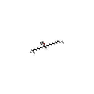 CCCCCCCCCC[N]([Ti])CCCCCCCCCC.Cl.Cl.Cl